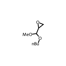 CCCCO[C](OC)C1CO1